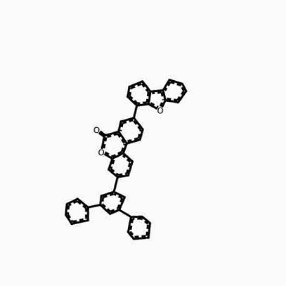 O=c1oc2cc(-c3cc(-c4ccccc4)cc(-c4ccccc4)c3)ccc2c2ccc(-c3cccc4c3oc3ccccc34)cc12